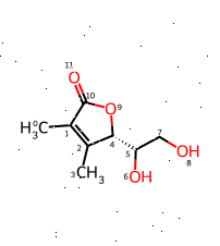 CC1=C(C)[C@@H](C(O)CO)OC1=O